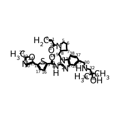 C=CC(=O)N1CCCC1Cn1c(NC(=O)c2ccc(-c3cnc(C)o3)s2)nc2cc(CNCC(C)(C)O)ccc21